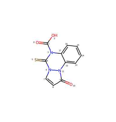 O=C(O)n1c(=S)n2ccc(=O)n2c2ccccc21